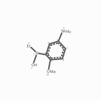 CCN(O)c1cc(NC(C)=O)ccc1OC